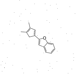 CC1=C(C)CC(c2cc3ccccc3o2)=C1